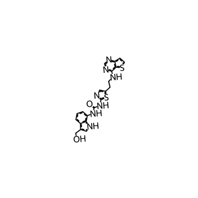 O=C(Nc1ncc(CCNc2ncnc3ccsc23)s1)Nc1cccc2c(CO)c[nH]c12